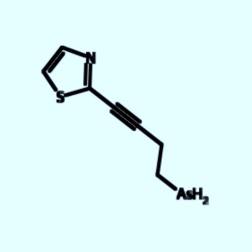 [AsH2]CCC#Cc1nccs1